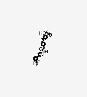 O=C(Cc1ccc(Oc2ccc([N+](=O)[O-])c(O)c2)cc1)Nc1ccc(-c2cccc(C(F)(F)F)c2)cn1